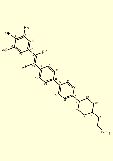 CCCC1CCC(c2ccc(-c3ccc(/C(F)=C(\F)c4cc(F)c(F)c(F)c4)cc3)cc2)CC1